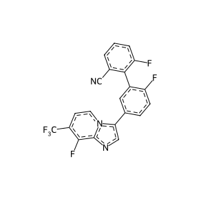 N#Cc1cccc(F)c1-c1cc(-c2cnc3c(F)c(C(F)(F)F)ccn23)ccc1F